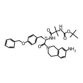 CC(C)(C)OC(=O)NC(C)(C)C(=O)N[C@H](Cc1ccc(OCc2ccccc2)cc1)C(=O)N1CCc2ccc(N)cc2C1